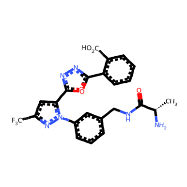 C[C@H](N)C(=O)NCc1cccc(-n2nc(C(F)(F)F)cc2-c2nnc(-c3ccccc3C(=O)O)o2)c1